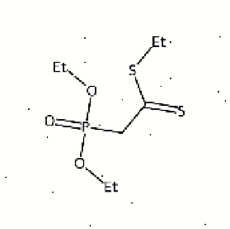 CCOP(=O)(CC(=S)SCC)OCC